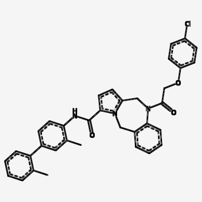 Cc1cc(-c2ccccc2C)ccc1NC(=O)c1ccc2n1Cc1ccccc1N(C(=O)COc1ccc(Cl)cc1)C2